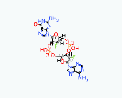 Nc1nc2c(ncn2[C@@H]2O[C@@H]3COP(=O)(O)O[C@H]4[C@@H](F)[C@H](n5cnc6c(N)ncnc65)O[C@@H]4COP(=O)(O)O[C@@H]2[C@@H]3F)c(=O)[nH]1